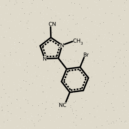 Cn1c(C#N)cnc1-c1cc(C#N)ccc1Br